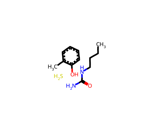 CCCCNC(N)=O.Cc1ccccc1O.S